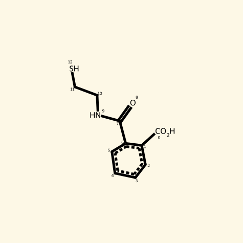 O=C(O)c1ccccc1C(=O)NCCS